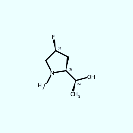 C[C@H](O)[C@@H]1C[C@H](F)CN1C